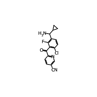 N#Cc1ccc(C(=O)c2c(Cl)ccc(C(N)C3CC3)c2F)nc1